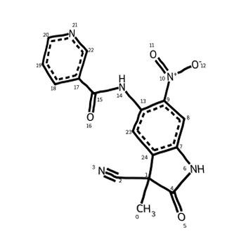 CC1(C#N)C(=O)Nc2cc([N+](=O)[O-])c(NC(=O)c3cccnc3)cc21